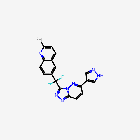 [2H]c1ccc2cc(C(F)(F)c3nnc4ccc(-c5cn[nH]c5)nn34)ccc2n1